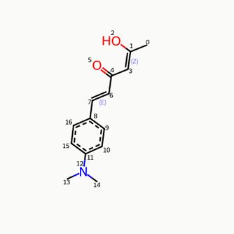 C/C(O)=C/C(=O)/C=C/c1ccc(N(C)C)cc1